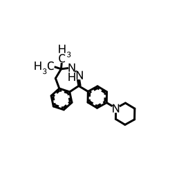 CC1(C)Cc2ccccc2C(c2ccc(N3CCCCC3)cc2)=NN1